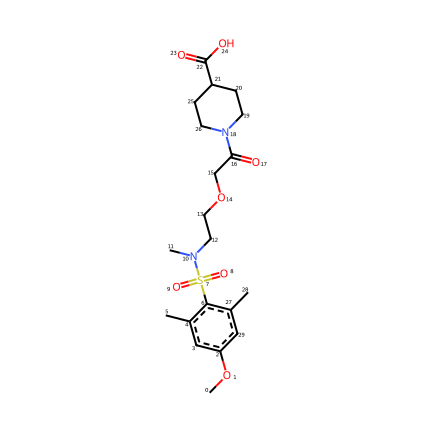 COc1cc(C)c(S(=O)(=O)N(C)CCOCC(=O)N2CCC(C(=O)O)CC2)c(C)c1